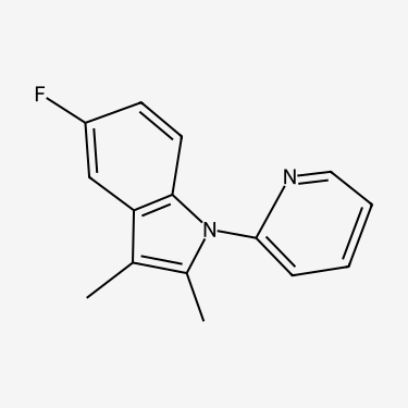 Cc1c(C)n(-c2ccccn2)c2ccc(F)cc12